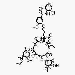 CC[C@H]1OC(=O)[C@H](C)[C@@H](O[C@H]2C[C@@](C)(OC)[C@@H](O)[C@H](C)O2)[C@H](C)[C@@H](O[C@@H]2O[C@H](C)C[C@H](N(C)CC(C)C)[C@H]2O)[C@](C)(OC)C[C@@H](C)C(=O)[C@H](C)[C@H]2N(CCCOc3cc(C(=O)Nc4c(Cl)cncc4Cl)ccc3OC)C(=O)O[C@]12C